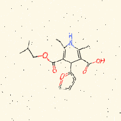 CC1=C(C(=O)O)C(c2ccco2)C(C(=O)OCC(C)C)=C(C)N1